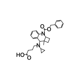 CC12CCC1N(C(=O)OCc1ccccc1)c1ccccc1C2N(CCCC(=O)O)C1CC1